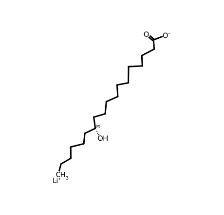 CCCCCC[C@@H](O)CCCCCCCCCCC(=O)[O-].[Li+]